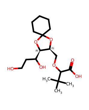 CC(C)(C)C(OC[C@@H]1OC2(CCCCC2)O[C@@H]1C(O)CCO)C(=O)O